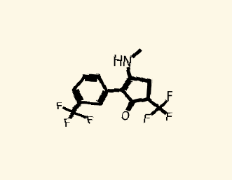 CNC1=C(c2cccc(C(F)(F)F)c2)C(=O)C(C(F)(F)F)C1